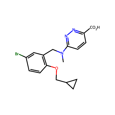 CN(Cc1cc(Br)ccc1OCC1CC1)c1ccc(C(=O)O)nn1